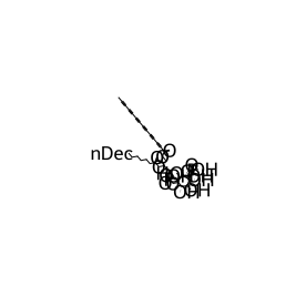 CC#CC#CC#CC#CC#CC#CC(=O)OC[C@H](COP(=O)(O)OC1C(O)[C@H](OP(=O)(O)O)[C@H](O)C(O)[C@@H]1O)OC(=O)CCCCCCCCCCCCCCC